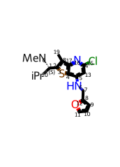 CN[C@H](c1sc2c(NCc3ccco3)cc(Cl)nc2c1C)C(C)C